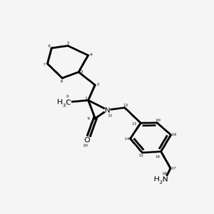 CC1(CC2CCCCC2)C(=O)N1Cc1ccc(CN)cc1